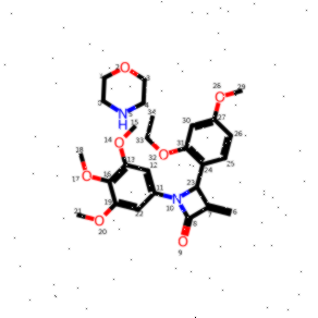 C1COCCN1.C=C1C(=O)N(c2cc(OC)c(OC)c(OC)c2)C1c1ccc(OC)cc1OCC